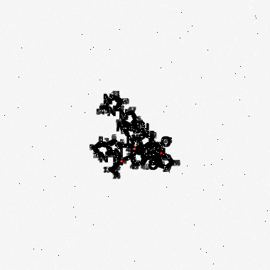 B[C@@]1(Cn2c(-c3cc4cccnc4n3CC3CC3)nc3cc(C(=O)N4CC5CCC4[C@]5(N)S(=O)(=O)c4ccc(Br)cc4)cc(OC)c32)CCN(c2ccnc(C)n2)C1